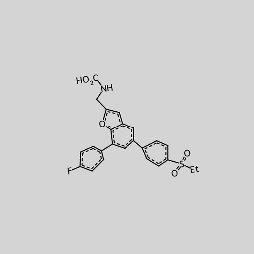 CCS(=O)(=O)c1ccc(-c2cc(-c3ccc(F)cc3)c3oc(CNC(=O)O)cc3c2)cc1